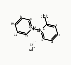 CCc1cccc[n+]1-[n+]1ccccc1.[I-].[I-]